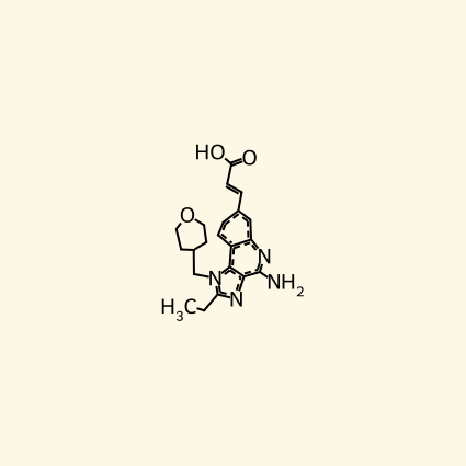 CCc1nc2c(N)nc3cc(/C=C/C(=O)O)ccc3c2n1CC1CCOCC1